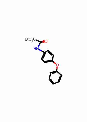 CCOC(=O)C(=O)Nc1ccc(Oc2ccccc2)cc1